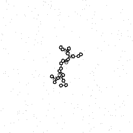 c1ccc(-c2ccccc2-c2ccc(N(c3ccc4c(c3)c3ccccc3n4-c3ccccc3)c3cccc4c3oc3ccc5cc(-c6ccc7ccc8c9cc(N(c%10ccc(-c%11ccc%12ccccc%12c%11)cc%10)c%10ccc%11c(c%10)c%10ccccc%10n%11-c%10ccc%11ccccc%11c%10)ccc9oc8c7c6)ccc5c34)cc2)cc1